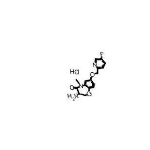 CN1C(=O)[C@@H](N)COc2ccc(OCc3ccc(F)cn3)cc21.Cl